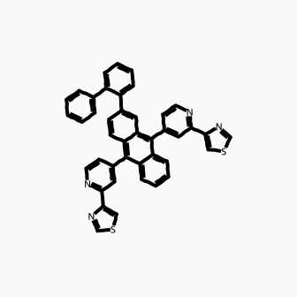 c1ccc(-c2ccccc2-c2ccc3c(-c4ccnc(-c5cscn5)c4)c4ccccc4c(-c4ccnc(-c5cscn5)c4)c3c2)cc1